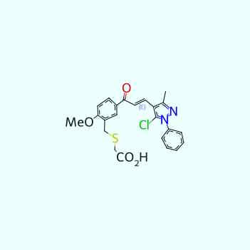 COc1ccc(C(=O)/C=C/c2c(C)nn(-c3ccccc3)c2Cl)cc1CSCC(=O)O